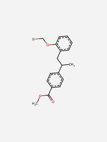 COC(=O)c1ccc(C(C)Cc2ccccc2OCBr)cc1